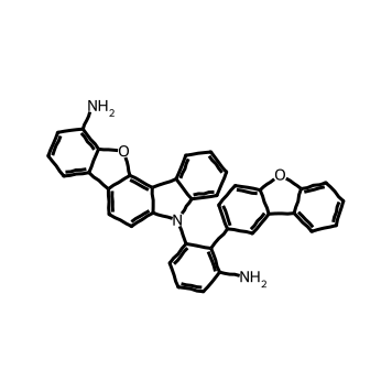 Nc1cccc(-n2c3ccccc3c3c4oc5c(N)cccc5c4ccc32)c1-c1ccc2oc3ccccc3c2c1